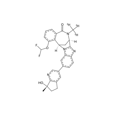 [2H]C([2H])([2H])N1C(=O)c2cccc(OC(F)F)c2[C@H]2C[C@@H]1c1nc3ccc(-c4cnc5c(c4)CC[C@]5(C)O)cc3n12